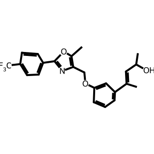 CC(=CC(C)O)c1cccc(OCc2nc(-c3ccc(C(F)(F)F)cc3)oc2C)c1